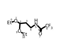 CCOC(CCNC(=O)C(F)(F)F)OCC